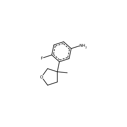 CC1(c2cc(N)ccc2F)CCOC1